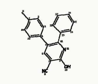 Cc1ccc(-c2cc(C#N)c(O)nc2-c2ccccc2)cc1